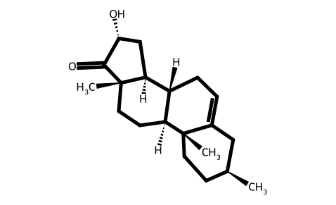 C[C@H]1CC[C@@]2(C)C(=CC[C@@H]3[C@@H]2CC[C@]2(C)C(=O)[C@H](O)C[C@@H]32)C1